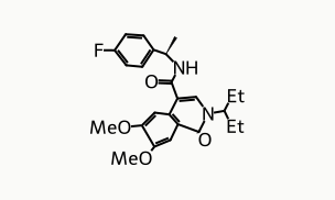 CCC(CC)n1cc(C(=O)N[C@H](C)c2ccc(F)cc2)c2cc(OC)c(OC)cc2c1=O